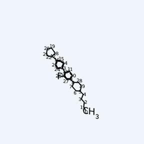 CCCCCC1CCC(c2ccc(-c3ccc(C4CCCCC4)cc3)c(F)c2)CC1